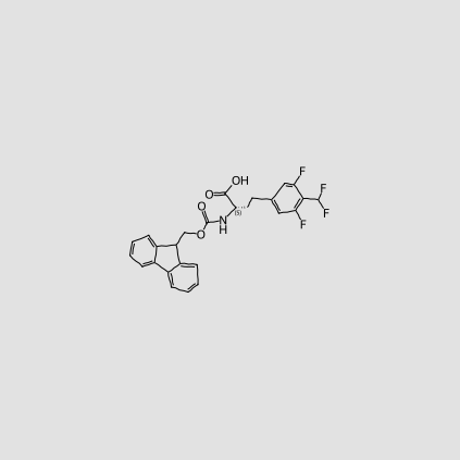 O=C(N[C@@H](CCc1cc(F)c(C(F)F)c(F)c1)C(=O)O)OCC1c2ccccc2-c2ccccc21